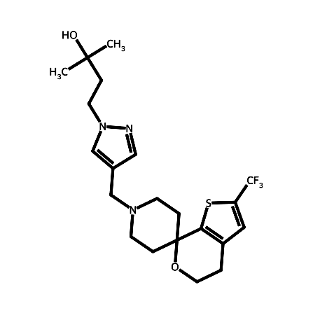 CC(C)(O)CCn1cc(CN2CCC3(CC2)OCCc2cc(C(F)(F)F)sc23)cn1